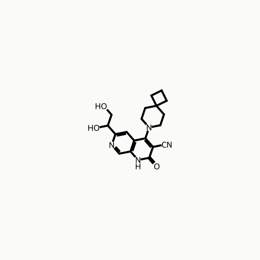 N#Cc1c(N2CCC3(CCC3)CC2)c2cc(C(O)CO)ncc2[nH]c1=O